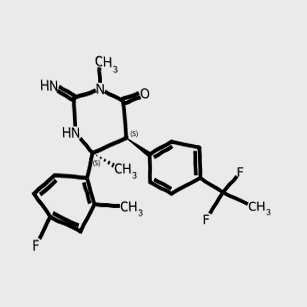 Cc1cc(F)ccc1[C@@]1(C)NC(=N)N(C)C(=O)[C@H]1c1ccc(C(C)(F)F)cc1